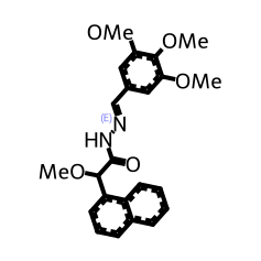 COc1cc(/C=N/NC(=O)C(OC)c2cccc3ccccc23)cc(OC)c1OC